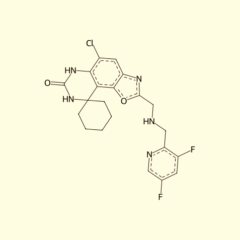 O=C1Nc2c(Cl)cc3nc(CNCc4ncc(F)cc4F)oc3c2C2(CCCCC2)N1